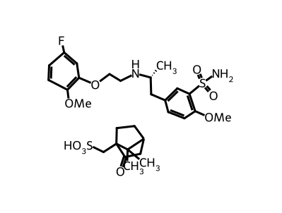 CC1(C)C2CCC1(CS(=O)(=O)O)C(=O)C2.COc1ccc(F)cc1OCCN[C@H](C)Cc1ccc(OC)c(S(N)(=O)=O)c1